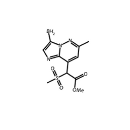 Bc1cnc2c(C(C(=O)OC)S(C)(=O)=O)cc(C)nn12